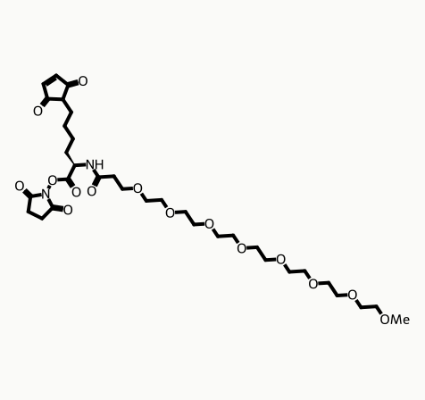 COCCOCCOCCOCCOCCOCCOCCOCCC(=O)N[C@H](CCCCC1C(=O)C=CC1=O)C(=O)ON1C(=O)CCC1=O